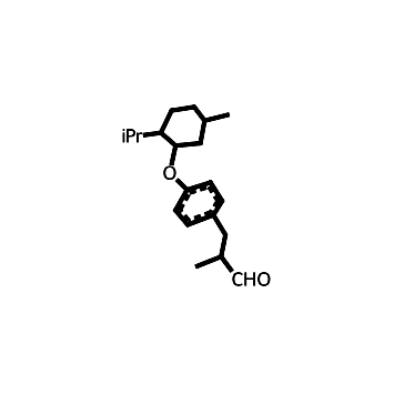 CC(C=O)Cc1ccc(OC2CC(C)CCC2C(C)C)cc1